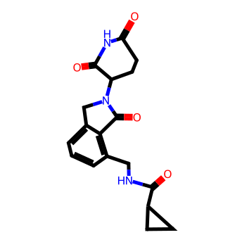 O=C1CCC(N2Cc3cccc(CNC(=O)C4CC4)c3C2=O)C(=O)N1